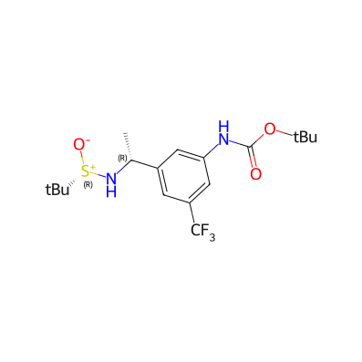 C[C@@H](N[S@@+]([O-])C(C)(C)C)c1cc(NC(=O)OC(C)(C)C)cc(C(F)(F)F)c1